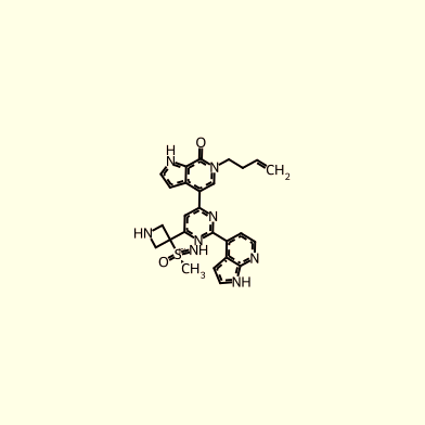 C=CCCn1cc(-c2cc(C3([S@](C)(=N)=O)CNC3)nc(-c3ccnc4[nH]ccc34)n2)c2cc[nH]c2c1=O